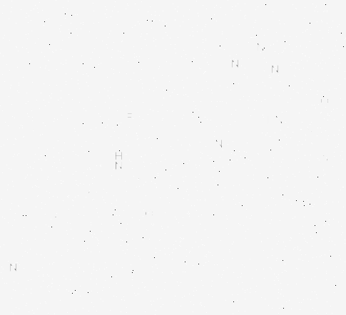 Cn1nnc(-c2cc(F)c(C(=O)NC34CC(C#N)(C3)C4)cn2)c1NC(=O)O